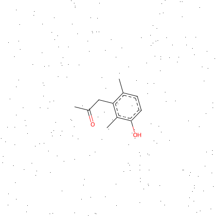 CC(=O)Cc1c(C)ccc(O)c1C